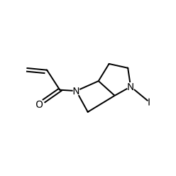 C=CC(=O)N1CC2C1CCN2I